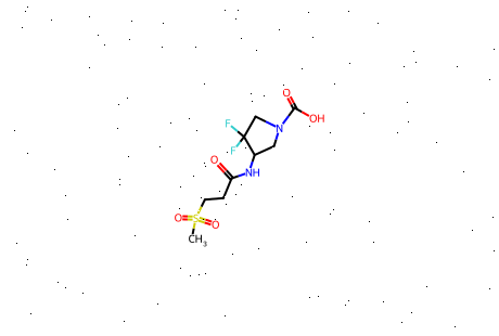 CS(=O)(=O)CCC(=O)NC1CN(C(=O)O)CC1(F)F